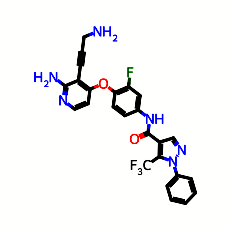 NCC#Cc1c(Oc2ccc(NC(=O)c3cnn(-c4ccccc4)c3C(F)(F)F)cc2F)ccnc1N